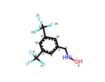 ONCc1cc(C(F)(F)F)cc(C(F)(F)F)c1